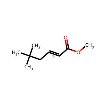 COC(=O)/C=C/CC(C)(C)C